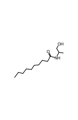 CCCCCCCCCC(=O)NC(C)CO